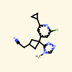 Cn1cnnc1C1(c2cc(Cl)nc(C3CC3)c2)CC(CC#N)C1